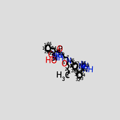 CCCCC(=O)N(CCCNC(=O)C(Cc1ccccc1)C(=O)NO)Cc1ccc(-c2ccccc2-c2nnn[nH]2)cc1